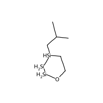 CC(C)C[SiH]1CCO[SiH2][SiH2]1